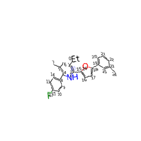 CC/C=C(/NC(=C(C)C)c1ccc(F)cc1)c1ccc(-c2cccc(C)c2)o1